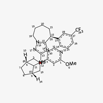 COc1cc(N2C[C@H]3CC[C@@H](C2)C3Nc2nc3n(n2)CCCC[C@H]3c2cccc(C(F)(F)F)c2)ccn1